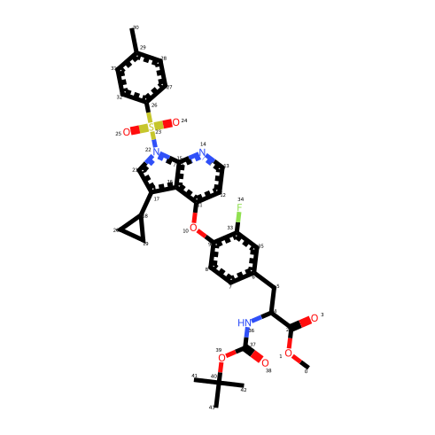 COC(=O)C(Cc1ccc(Oc2ccnc3c2c(C2CC2)cn3S(=O)(=O)c2ccc(C)cc2)c(F)c1)NC(=O)OC(C)(C)C